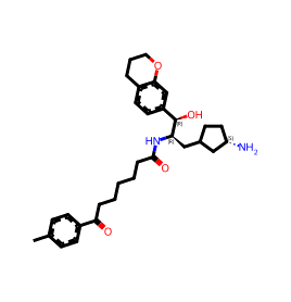 Cc1ccc(C(=O)CCCCCC(=O)N[C@H](CC2CC[C@H](N)C2)[C@H](O)c2ccc3c(c2)OCCC3)cc1